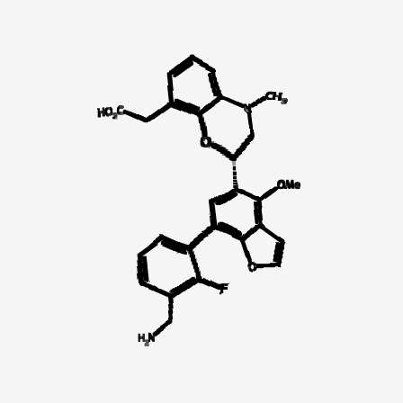 COc1c([C@H]2CN(C)c3cccc(CC(=O)O)c3O2)cc(-c2cccc(CN)c2F)c2occc12